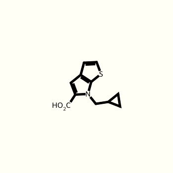 O=C(O)c1cc2ccsc2n1CC1CC1